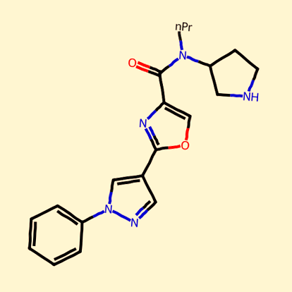 CCCN(C(=O)c1coc(-c2cnn(-c3ccccc3)c2)n1)C1CCNC1